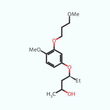 CC[C@@H](CC(C)O)Oc1ccc(OC)c(OCCCOC)c1